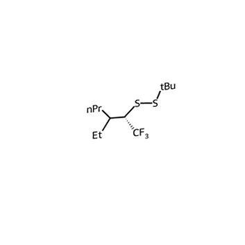 CCCC(CC)[C@H](SSC(C)(C)C)C(F)(F)F